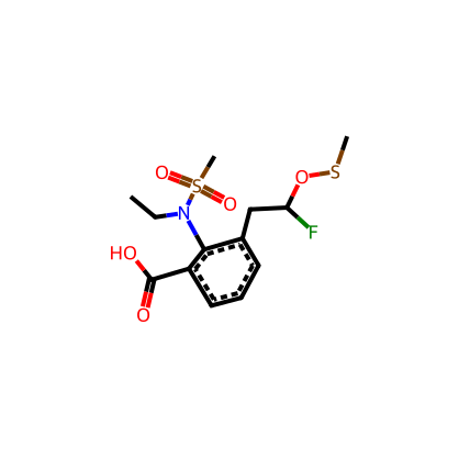 CCN(c1c(CC(F)OSC)cccc1C(=O)O)S(C)(=O)=O